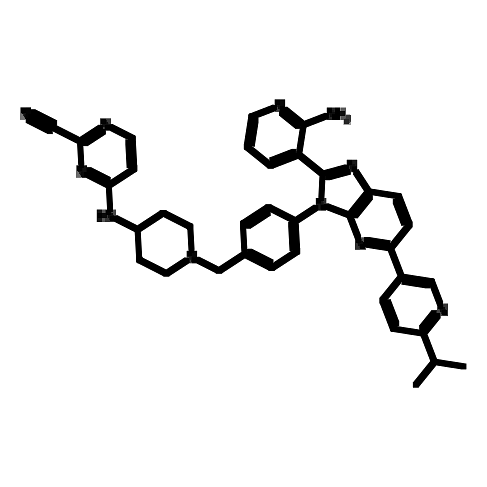 CC(C)c1ccc(-c2ccc3nc(-c4cccnc4N)n(-c4ccc(CN5CCC(Nc6ccnc(C#N)n6)CC5)cc4)c3n2)cn1